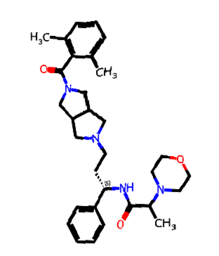 Cc1cccc(C)c1C(=O)N1CC2CN(CC[C@H](NC(=O)C(C)N3CCOCC3)c3ccccc3)CC2C1